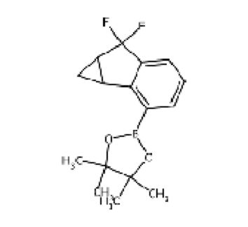 CC1(C)OB(c2cccc3c2C2CC2C3(F)F)OC1(C)C